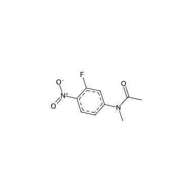 CC(=O)N(C)c1ccc([N+](=O)[O-])c(F)c1